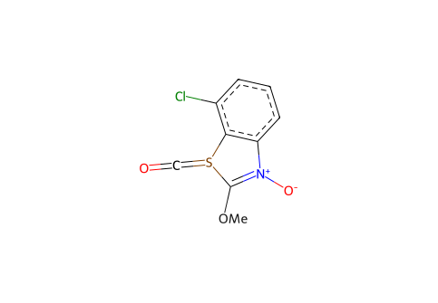 COC1=[N+]([O-])c2cccc(Cl)c2S1=C=O